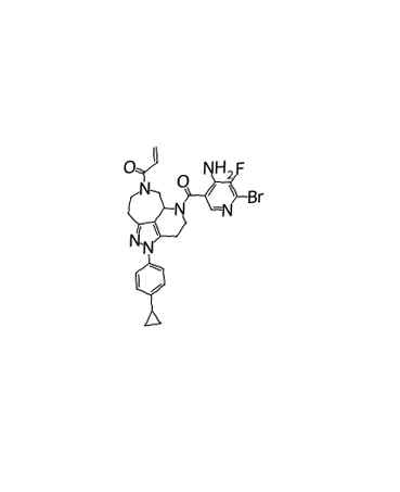 C=CC(=O)N1CCc2nn(-c3ccc(C4CC4)cc3)c3c2C(C1)N(C(=O)c1cnc(Br)c(F)c1N)CC3